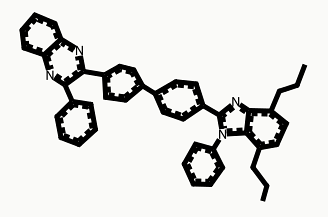 CCCc1ccc(CCC)c2c1nc(-c1ccc(-c3ccc(-c4nc5ccccc5nc4-c4ccccc4)cc3)cc1)n2-c1ccccc1